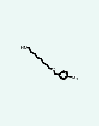 OCCCCCCCCOCc1ccc(C(F)(F)F)cc1